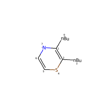 CCCCC1=C(CCCC)SC=C[N]1